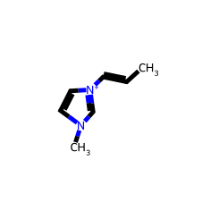 CC=C[n+]1ccn(C)c1